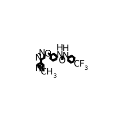 Cn1cc(-c2cc(Oc3cccc(NC(=O)Nc4ccc(C(F)(F)F)cc4)c3)ncn2)cn1